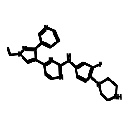 CCn1cc(-c2ccnc(Nc3ccc(N4CCNCC4)c(F)c3)n2)c(-c2cccnc2)n1